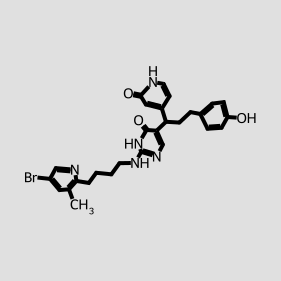 Cc1cc(Br)cnc1CCCCNc1ncc(C(CCc2ccc(O)cc2)c2cc[nH]c(=O)c2)c(=O)[nH]1